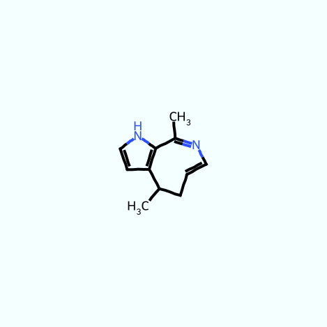 C/C1=N/C=C/CC(C)c2cc[nH]c21